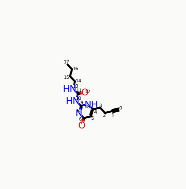 C#CCCc1cc(=O)nc(NC(=O)NCCCC)[nH]1